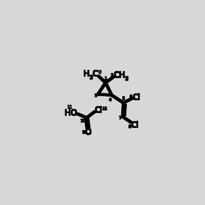 CC1(C)CC1C(Cl)=CCl.O=C(O)Cl